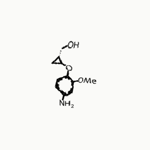 COc1cc(N)ccc1OC1C[C@@H]1CO